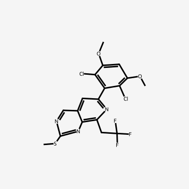 COc1cc(OC)c(Cl)c(-c2cc3cnc(SC)nc3c(CC(F)(F)F)n2)c1Cl